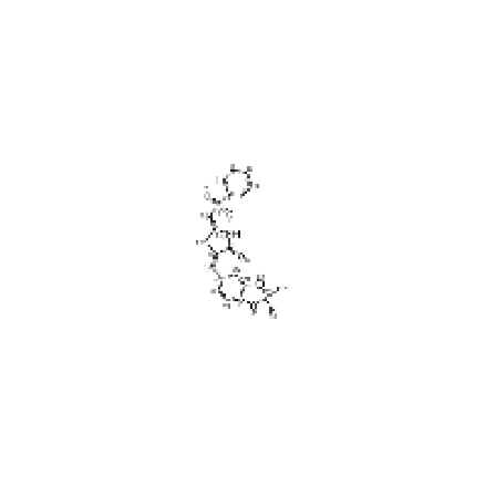 O=C1NC(=NS(=O)(=O)c2ccccc2)SC1=Cc1ccc2c(c1)OC(F)(F)O2